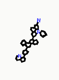 N#Cc1cc2ccc3cc(-c4cc5c6ccccc6c(-c6ccc(-c7cccc8cccnc78)cc6)cc5c5ccccc45)cc4c3c2c(c1)n4-c1ccccc1